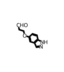 O=CCCOc1ccc2[nH]ncc2c1